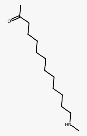 CNCCCCCCCCCCCC(C)=O